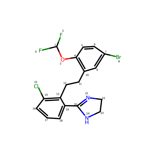 FC(F)Oc1ccc(Br)cc1CCc1c(Cl)cccc1C1=NCCN1